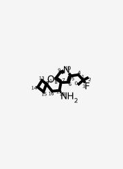 CC(C)(F)Cc1cc2c(cn1)OC1(CCC1)C[C@@H]2N